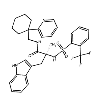 C[C@@](Cc1c[nH]c2ccccc12)(NS(=O)(=O)c1ccccc1C(F)(F)F)C(=O)NCC1(c2ccccn2)CCCCC1